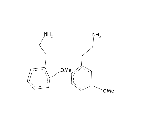 COc1cccc(CCN)c1.COc1ccccc1CCN